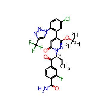 [2H]C([2H])([2H])Oc1nn([C@@H](CC)C(=O)c2ccc(C(N)=O)c(F)c2)c(=O)cc1-c1cc(Cl)ccc1-n1cc(C(F)(F)F)nn1